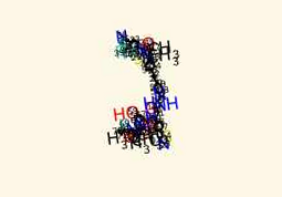 Cc1ncsc1-c1ccc([C@H](CC(=O)NCCN2CCC(C#Cc3ccc(N4C(=S)N(c5ccc(C#N)c(C(F)(F)F)c5F)C(=O)C4(C)C)cc3)CC2)NC(=O)[C@@H]2C[C@@H](O)CN2C(=O)[C@@H](NC(=O)C2(F)CC2)C(C)(C)C)cc1